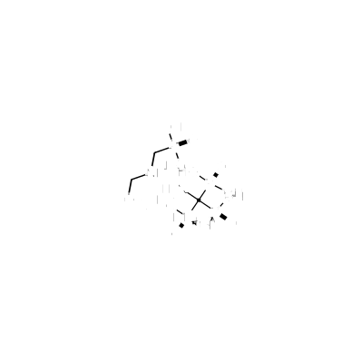 NC(P(=O)(O)O)(P(=O)(O)O)P(=O)(O)O.O=C(O)CNCP(=O)(O)O